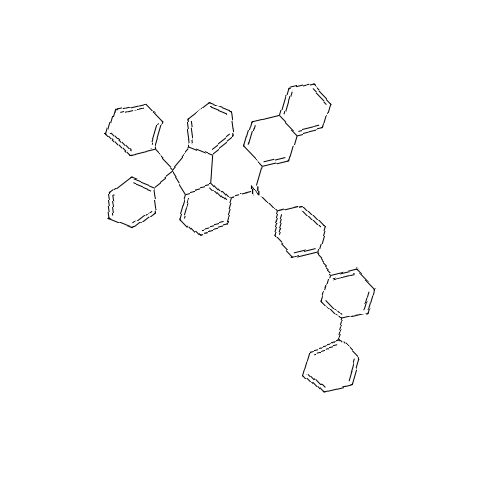 c1ccc(-c2cccc(-c3ccc(N(c4ccc5ccccc5c4)c4cccc5c4-c4ccccc4C5(c4ccccc4)c4ccccc4)cc3)c2)cc1